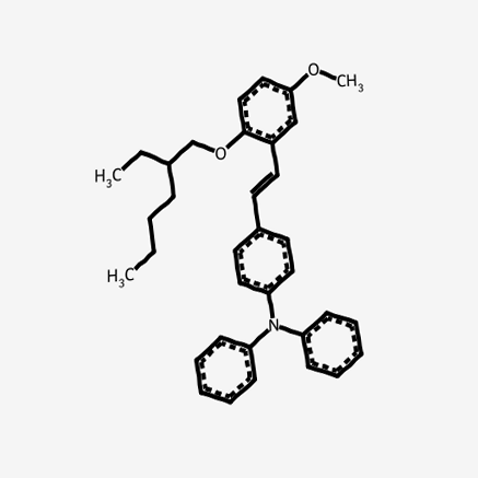 CCCCC(CC)COc1ccc(OC)cc1C=Cc1ccc(N(c2ccccc2)c2ccccc2)cc1